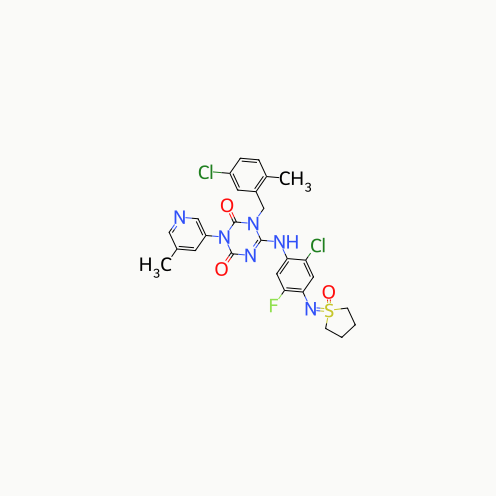 Cc1cncc(-n2c(=O)nc(Nc3cc(F)c(N=S4(=O)CCCC4)cc3Cl)n(Cc3cc(Cl)ccc3C)c2=O)c1